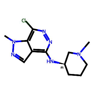 CN1CCC[C@@H](Nc2nnc(Cl)c3c2cnn3C)C1